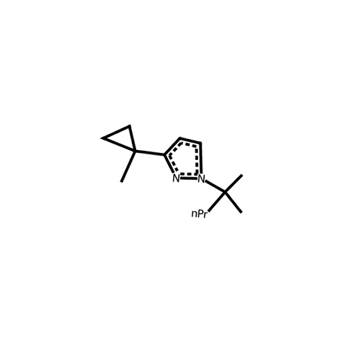 CCCC(C)(C)n1ccc(C2(C)CC2)n1